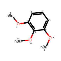 CCCCOc1c[c]cc(OCCCC)c1OCCCC